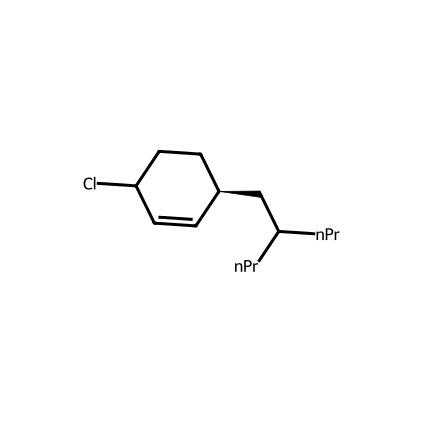 CCCC(CCC)C[C@H]1C=CC(Cl)CC1